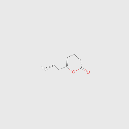 C=CCC1=CCCC(=O)O1